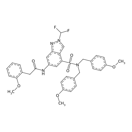 COc1ccc(CN(Cc2ccc(OC)cc2)S(=O)(=O)c2cc(NC(=O)Cc3ccccc3OC)cc3nn(C(F)F)cc23)cc1